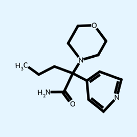 CCCC(C(N)=O)(c1ccncc1)N1CCOCC1